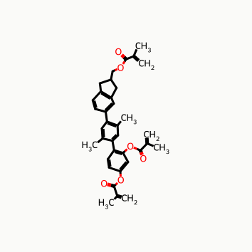 C=C(C)C(=O)OCC1Cc2ccc(-c3cc(C)c(-c4ccc(OC(=O)C(=C)C)cc4OC(=O)C(=C)C)cc3C)cc2C1